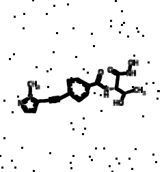 C[C@@H](O)[C@H](NC(=O)c1ccc(C#Cc2ccnn2C)cc1)C(=O)NO